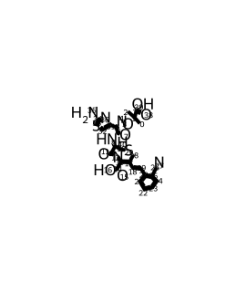 CC(C)(O/N=C(\C(=O)NC1C(=O)N2C(C(=O)O)=C(/C=C/c3ccccc3C#N)CS[C@H]12)c1csc(N)n1)C(=O)O